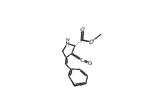 COC(=O)[C@H]1NCC(=Cc2ccccc2)C1=C=O